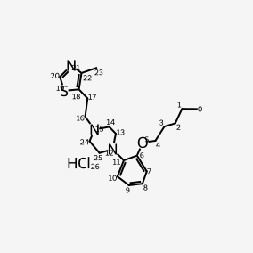 CCCCCOc1ccccc1N1CCN(CCc2scnc2C)CC1.Cl